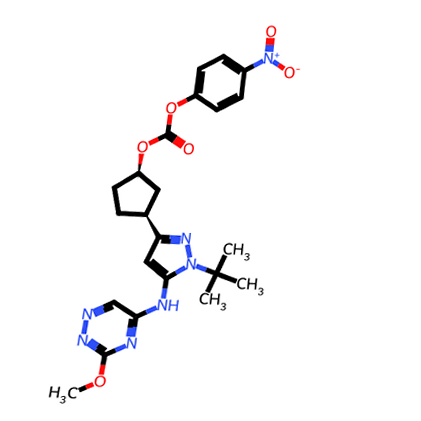 COc1nncc(Nc2cc([C@H]3CC[C@@H](OC(=O)Oc4ccc([N+](=O)[O-])cc4)C3)nn2C(C)(C)C)n1